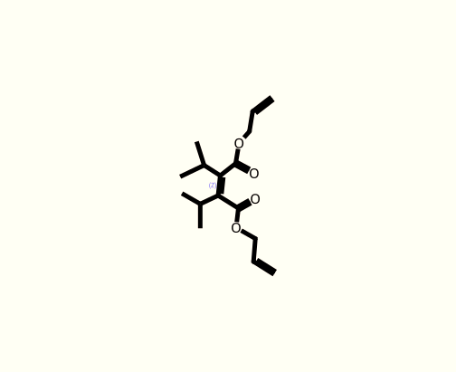 C=CCOC(=O)/C(=C(\C(=O)OCC=C)C(C)C)C(C)C